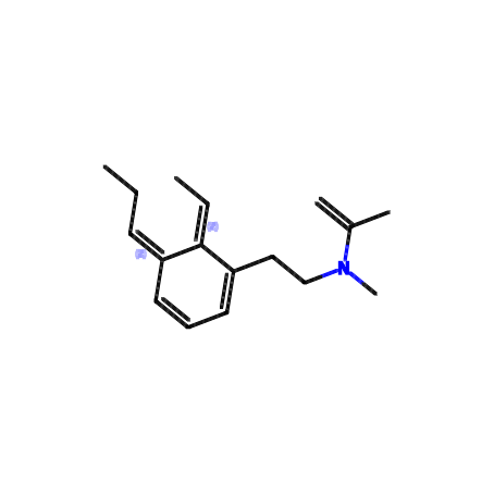 C=C(C)N(C)CCc1cccc(=C/CC)/c1=C\C